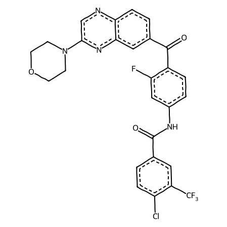 O=C(Nc1ccc(C(=O)c2ccc3ncc(N4CCOCC4)nc3c2)c(F)c1)c1ccc(Cl)c(C(F)(F)F)c1